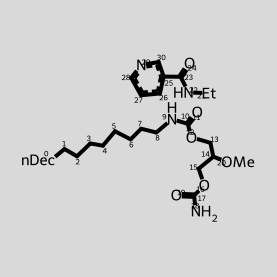 CCCCCCCCCCCCCCCCCCNC(=O)OCC(COC(N)=O)OC.CCNC(=O)c1cccnc1